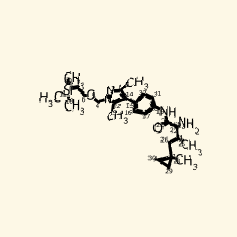 Cc1nn(COCC[Si](C)(C)C)c(C)c1-c1ccc(NC(=O)[C@@H](N)[C@@H](C)CC2(C)CC2)cc1